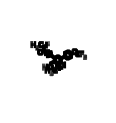 C=C(F)C(=O)N1CC(c2cc(-c3ccc(OC(F)(F)F)cc3)c3ncn(C)c3c2CO)C1